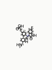 CNCc1cccc(N/C(=C2\C(=O)Nc3cc(F)ccc32)c2ccc(CCC(=O)O)cc2)c1